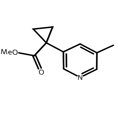 COC(=O)C1(c2cncc(C)c2)CC1